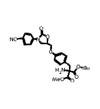 COC(=O)C(N)(Cc1ccc(OCC2CN(c3ccc(C#N)cc3)C(=O)O2)cc1)C(=O)OC(C)(C)C